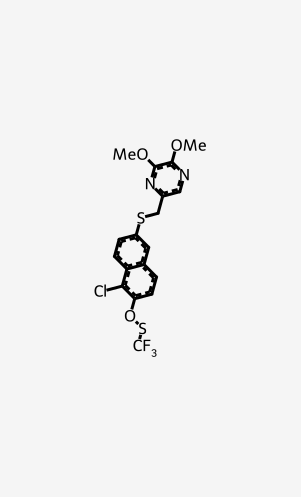 COc1ncc(CSc2ccc3c(Cl)c(OSC(F)(F)F)ccc3c2)nc1OC